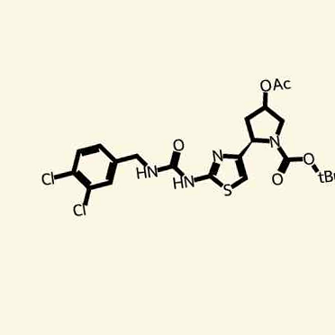 CC(=O)OC1C[C@H](c2csc(NC(=O)NCc3ccc(Cl)c(Cl)c3)n2)N(C(=O)OC(C)(C)C)C1